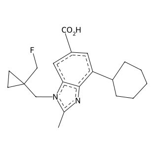 Cc1nc2c(C3CCCCC3)cc(C(=O)O)cc2n1CC1(CF)CC1